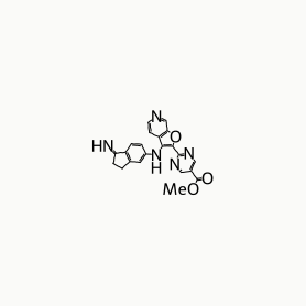 COC(=O)c1cnc(-c2oc3cnccc3c2Nc2ccc3c(c2)CCC3=N)nc1